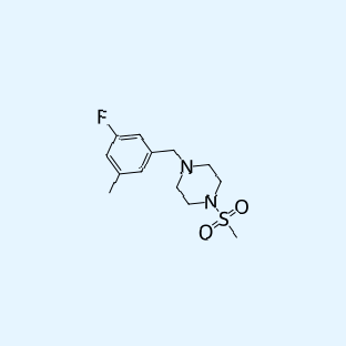 Cc1cc(F)cc(CN2CCN(S(C)(=O)=O)CC2)c1